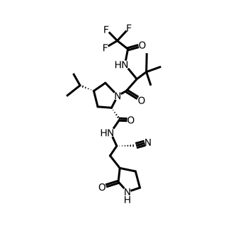 CC(C)[C@H]1C[C@@H](C(=O)N[C@H](C#N)CC2CCNC2=O)N(C(=O)C(NC(=O)C(F)(F)F)C(C)(C)C)C1